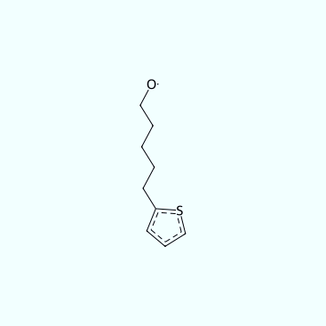 [O]CCCCCc1cccs1